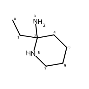 CCC1(N)CCCCN1